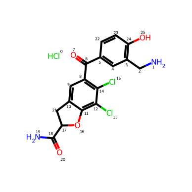 Cl.NCc1cc(C(=O)c2cc3c(c(Cl)c2Cl)OC(C(N)=O)C3)ccc1O